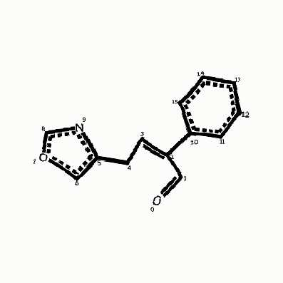 O=CC(=CCc1cocn1)c1ccccc1